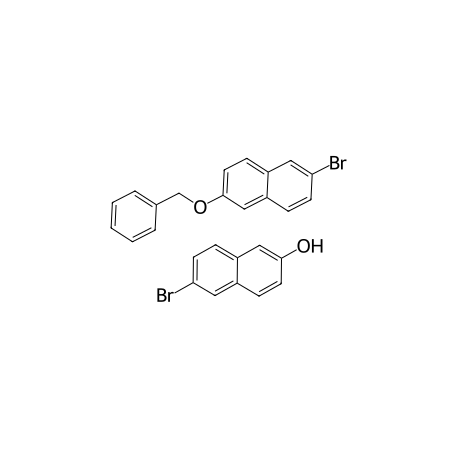 Brc1ccc2cc(OCc3ccccc3)ccc2c1.Oc1ccc2cc(Br)ccc2c1